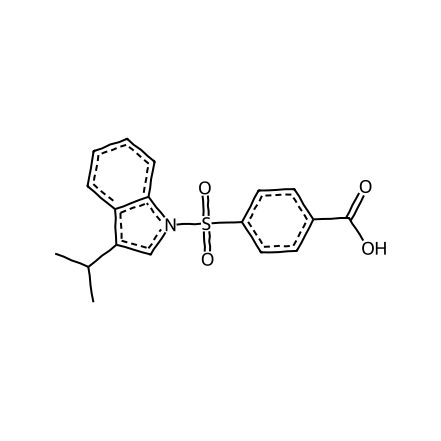 CC(C)c1cn(S(=O)(=O)c2ccc(C(=O)O)cc2)c2ccccc12